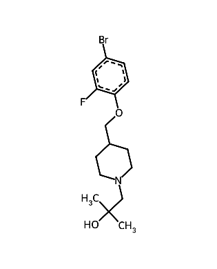 CC(C)(O)CN1CCC(COc2ccc(Br)cc2F)CC1